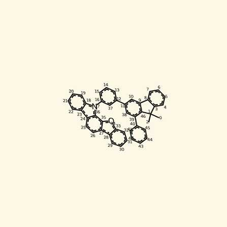 CC1(C)c2ccccc2-c2cc(-c3cccc(-n4c5ccccc5c5ccc6c7ccccc7oc6c54)c3)cc(-c3ccccc3)c21